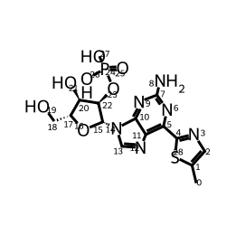 Cc1cnc(-c2nc(N)nc3c2ncn3[C@@H]2O[C@H](CO)[C@@H](O)[C@H]2OP(=O)(O)O)s1